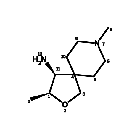 C[C@@H]1OCC2(CCN(C)CC2)[C@@H]1N